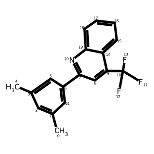 Cc1cc(C)cc(-c2cc(C(F)(F)F)c3ccccc3n2)c1